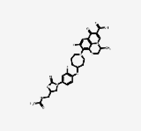 CC(=O)NCC1CN(c2ccc(OC3CCCN(c4c(F)cc5c(=O)c(C(=O)O)cn6c5c4OCC6C)CC3)c(F)c2)C(=O)O1